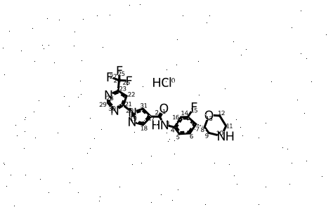 Cl.O=C(Nc1ccc([C@H]2CNCCO2)c(F)c1)c1cnn(-c2cc(C(F)(F)F)ncn2)c1